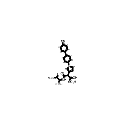 CNC(=O)C(NC(=O)C(c1ccn(-c2ccc(-c3ccc(C#N)cc3)cc2)c1)C(O)C(=O)O)C(C)(C)C